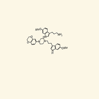 COc1ccc2c(CCCN)c[nH]c2c1.COc1ccc2c(CCCN3CCN(c4ccc5c(c4)OCCO5)CC3)c[nH]c2c1